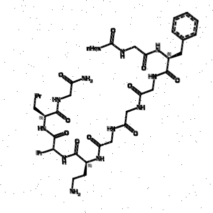 CCCCCCC(=O)NCC(=O)N[C@@H](Cc1ccccc1)C(=O)NCC(=O)NCC(=O)NCC(=O)N[C@@H](CCN)C(=O)NC(C(=O)N[C@@H](CC(C)C)C(=O)NCC(N)=O)C(C)C